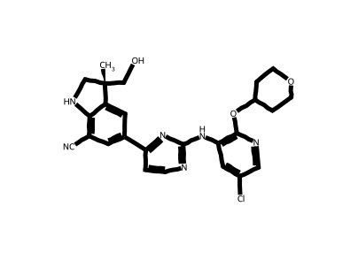 C[C@]1(CO)CNc2c(C#N)cc(-c3ccnc(Nc4cc(Cl)cnc4OC4CCOCC4)n3)cc21